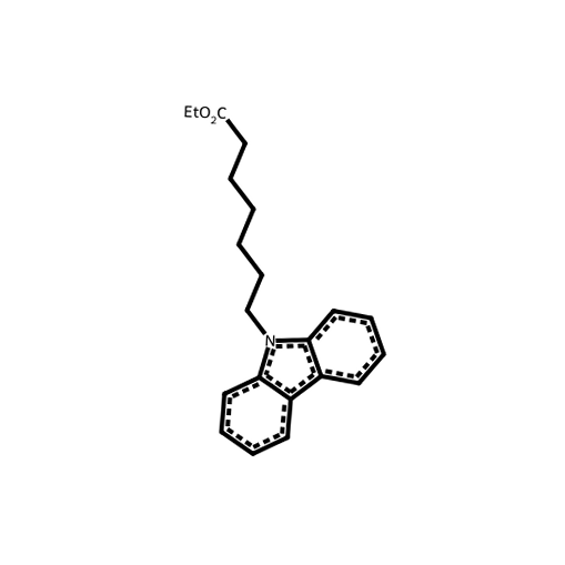 CCOC(=O)CCCCCCn1c2ccccc2c2ccccc21